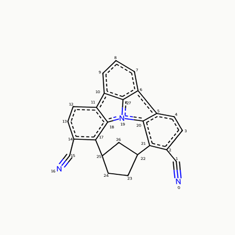 N#Cc1ccc2c3cccc4c5ccc(C#N)c6c5n(c2c1C1CCC6C1)c34